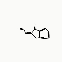 C=CC=C1Cc2ccccc2C1=O